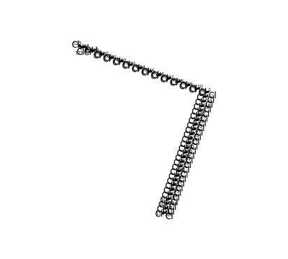 ClCCl.ClCCl.ClCCl.ClCCl.ClCCl.ClCCl.ClCCl.ClCCl.ClCCl.ClCCl.ClCCl.ClCCl.ClCCl.ClCCl.ClCCl.ClCCl.ClCCl.ClCCl.ClCCl.ClCCl.ClCCl.ClCCl.ClCCl.ClCCl.ClCCl.ClCCl.ClCCl.ClCCl.ClCCl.ClCCl.ClCCl.ClCCl.ClCCl.ClCCl.ClCCl.ClCCl.ClCCl.ClCCl.ClCCl.OCC(Cl)Cl